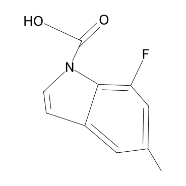 Cc1cc(F)c2c(ccn2C(=O)O)c1